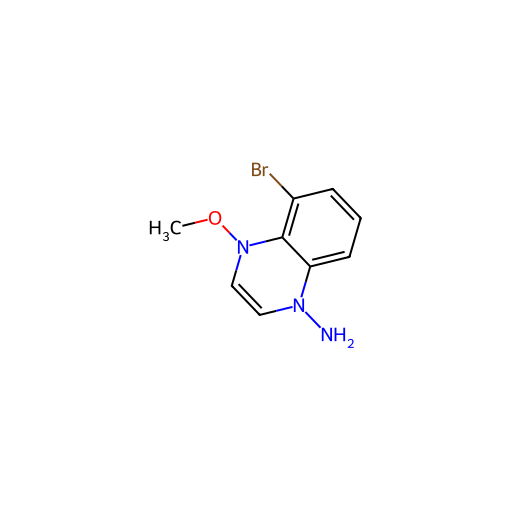 CON1C=CN(N)c2cccc(Br)c21